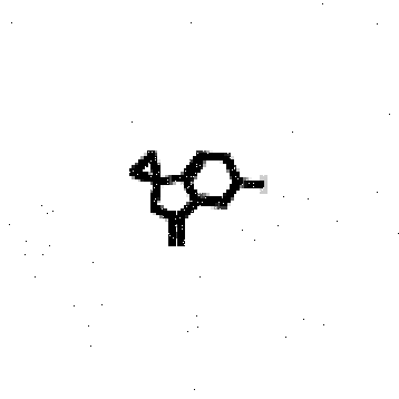 IC1C=C2NCC3(CC3)C2=CC1